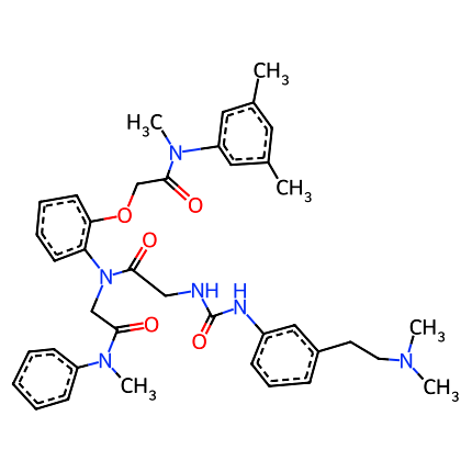 Cc1cc(C)cc(N(C)C(=O)COc2ccccc2N(CC(=O)N(C)c2ccccc2)C(=O)CNC(=O)Nc2cccc(CCN(C)C)c2)c1